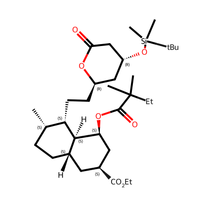 CCOC(=O)[C@H]1C[C@@H]2CC[C@H](C)[C@H](CC[C@@H]3C[C@@H](O[Si](C)(C)C(C)(C)C)CC(=O)O3)[C@H]2[C@@H](OC(=O)C(C)(C)CC)C1